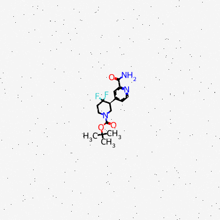 CC(C)(C)OC(=O)N1CCC(F)(F)[C@@H](c2ccnc(C(N)=O)c2)C1